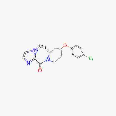 Cn1ccnc1C(=O)N1CCC(Oc2ccc(Cl)cc2)CC1